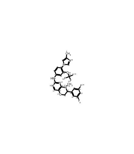 Cc1cn(-c2ccc(Nc3ncc4c(n3)N(C)C(c3cc(F)cc(F)c3)CO4)cc2OC(F)(F)F)cn1